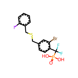 O=P(O)(O)C(F)(F)c1ccc(CSCc2ccccc2I)cc1Br